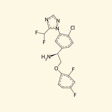 N[C@H](COc1ccc(F)cc1F)c1ccc(Cl)c(-n2ncnc2C(F)F)c1